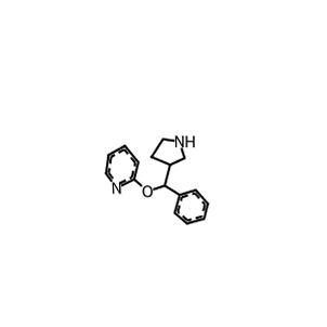 c1ccc(C(Oc2ccccn2)C2CCNC2)cc1